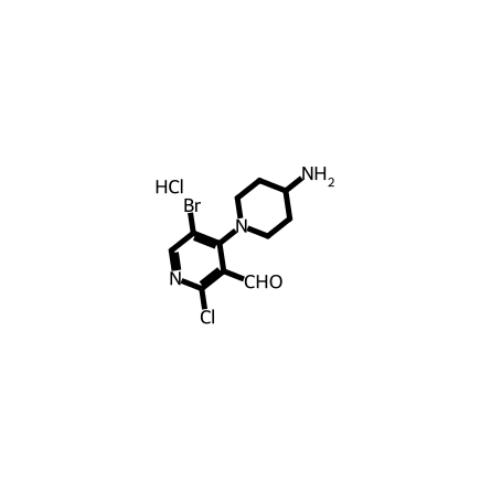 Cl.NC1CCN(c2c(Br)cnc(Cl)c2C=O)CC1